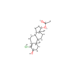 CC(=O)OC1CCC2C3CCC4=C(Cl)C(=O)CCC4(C)C3CCC12C